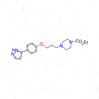 CCOC(=O)N1CCN(CCCOc2ccc(-c3ccn[nH]3)cc2)CC1